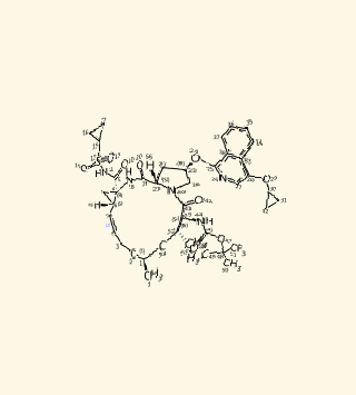 C[C@H]1CC/C=C\[C@@H]2C[C@@]2(C(=O)NS(=O)(=O)C2CC2)NC(=O)[C@@H]2C[C@@H](Oc3ncc(OC4CC4)c4ccccc34)CN2C(=O)[C@@H](NC(=O)OC(C)(C)C(F)(F)F)[C@H](C)C1